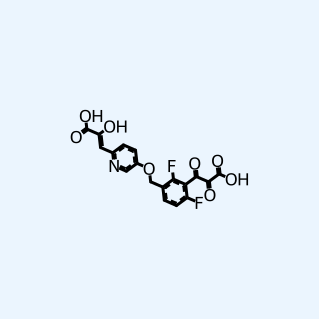 O=C(O)C(=O)C(=O)c1c(F)ccc(COc2ccc(C=C(O)C(=O)O)nc2)c1F